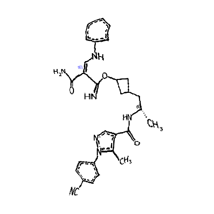 Cc1c(C(=O)N[C@@H](C)CC2CC(OC(=N)/C(=C\Nc3ccccc3)C(N)=O)C2)cnn1-c1ccc(C#N)cc1